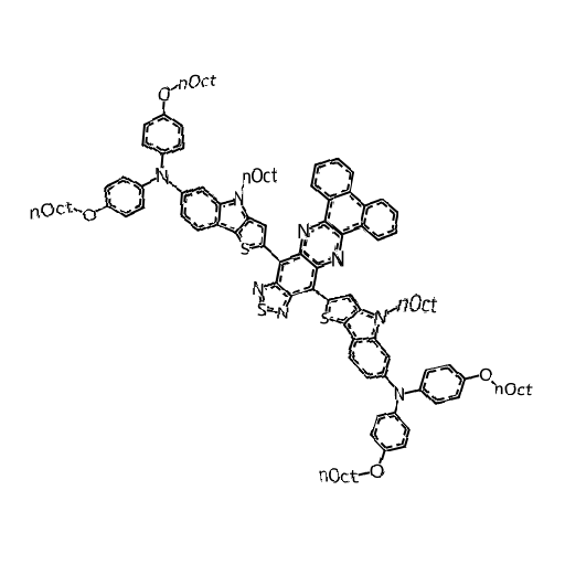 CCCCCCCCOc1ccc(N(c2ccc(OCCCCCCCC)cc2)c2ccc3c4sc(-c5c6nsnc6c(-c6cc7c(s6)c6ccc(N(c8ccc(OCCCCCCCC)cc8)c8ccc(OCCCCCCCC)cc8)cc6n7CCCCCCCC)c6nc7c8ccccc8c8ccccc8c7nc56)cc4n(CCCCCCCC)c3c2)cc1